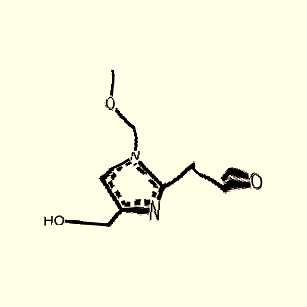 COCn1cc(CO)nc1CC=O